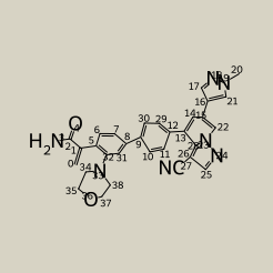 C=C(C(N)=O)c1ccc(-c2ccc(-c3cc(-c4cnn(C)c4)cn4ncc(C#N)c34)cc2)cc1N1CCOCC1